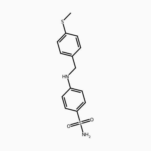 CSc1ccc(CNc2ccc(S(N)(=O)=O)cc2)cc1